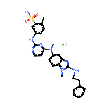 Cc1ccc(Nc2nccc(N(C)c3ccc4c(c3)nc(NCCc3ccccc3)n4C)n2)cc1S(N)(=O)=O.Cl